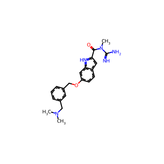 CN(C)Cc1cccc(COc2ccc3cc(C(=O)N(C)C(=N)N)[nH]c3c2)c1